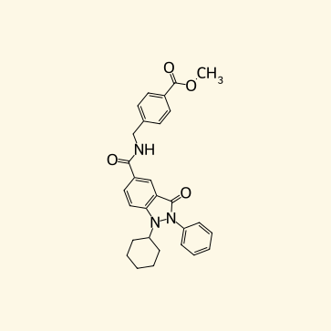 COC(=O)c1ccc(CNC(=O)c2ccc3c(c2)c(=O)n(-c2ccccc2)n3C2CCCCC2)cc1